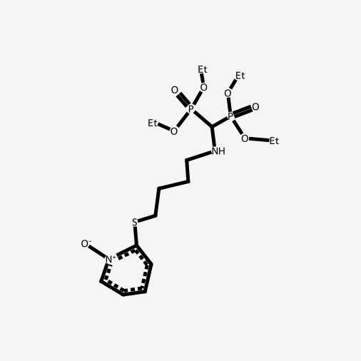 CCOP(=O)(OCC)C(NCCCCSc1cccc[n+]1[O-])P(=O)(OCC)OCC